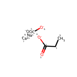 CCC(=O)[O-].O=C([O-])[O-].[Ca+2].[Na+]